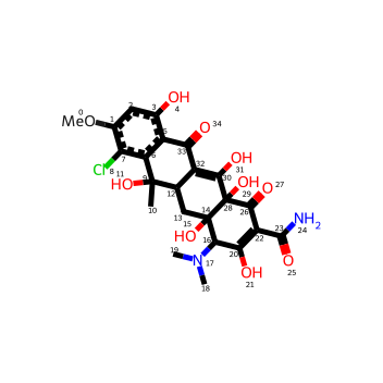 COc1cc(O)c2c(c1Cl)C(C)(O)C1CC3(O)C(N(C)C)C(O)=C(C(N)=O)C(=O)C3(O)C(O)=C1C2=O